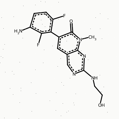 Cn1c(=O)c(-c2c(F)ccc(N)c2F)cc2cnc(NCCO)nc21